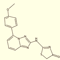 COc1ccc(-c2cccc3nc(NC4=NC(=O)CS4)nn23)cc1